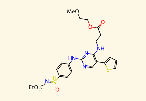 CCOC(=O)N=[SH](=O)c1ccc(Nc2ncc(-c3cccs3)c(NCCC(=O)OCCOC)n2)cc1